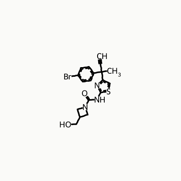 C#CC(C)(c1ccc(Br)cc1)c1csc(NC(=O)N2CC(CO)C2)n1